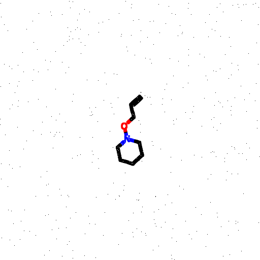 C=CCON1CCCCC1